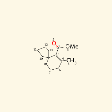 COC(=O)C1=C(C)CCCC12CCCC2